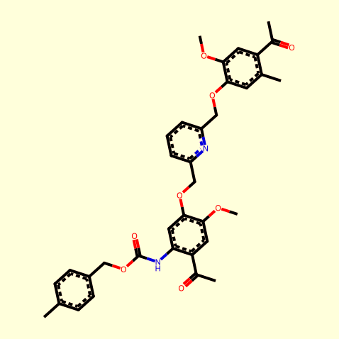 COc1cc(C(C)=O)c(C)cc1OCc1cccc(COc2cc(NC(=O)OCc3ccc(C)cc3)c(C(C)=O)cc2OC)n1